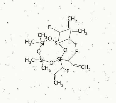 C=CC(F)[Si]1(C(F)C=C)O[Si](C)(C)O[Si](C)(C)O[Si](C(F)C=C)(C(F)C=C)O1